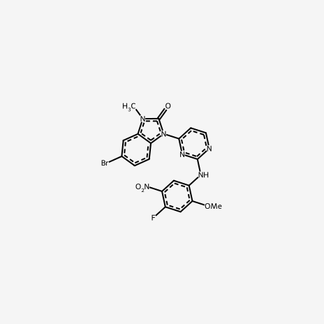 COc1cc(F)c([N+](=O)[O-])cc1Nc1nccc(-n2c(=O)n(C)c3cc(Br)ccc32)n1